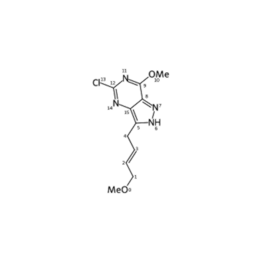 COC/C=C/Cc1[nH]nc2c(OC)nc(Cl)nc12